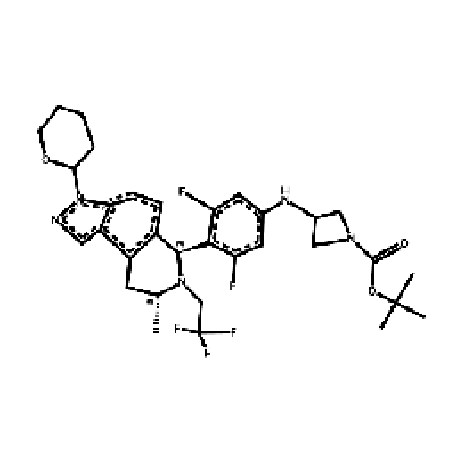 C[C@@H]1Cc2c(ccc3c2cnn3C2CCCCO2)[C@@H](c2c(F)cc(NC3CN(C(=O)OC(C)(C)C)C3)cc2F)N1CC(F)(F)F